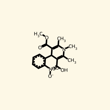 COC(=O)C1=C(C)N(C)C(C)=C(C(=O)O)C1c1ccccc1[N+](=O)[O-]